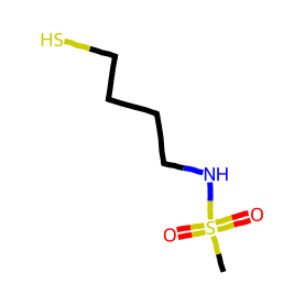 CS(=O)(=O)NCCCCS